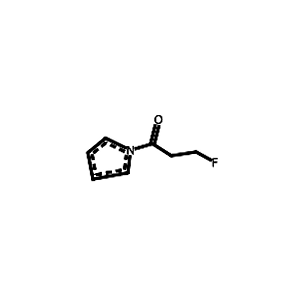 O=C(CCF)n1cccc1